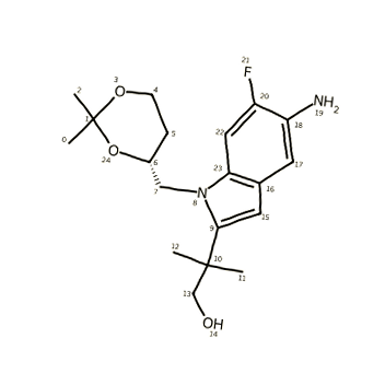 CC1(C)OCC[C@H](Cn2c(C(C)(C)CO)cc3cc(N)c(F)cc32)O1